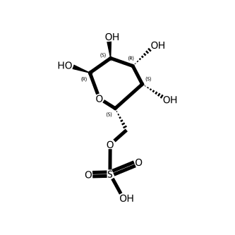 O=S(=O)(O)OC[C@@H]1O[C@@H](O)[C@@H](O)[C@H](O)[C@@H]1O